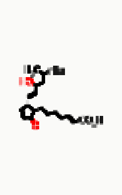 CCCC[C@H](C)C[C@H](O)C=C[C@H]1C=CC(=O)[C@@H]1CCCCC=CC(=O)O